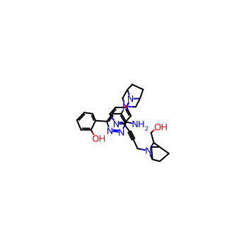 Nc1nnc(-c2ccccc2O)cc1N1CC2CCC(C1)N2c1ccnc(C#CCN2C3CCC(C3)C2CO)c1